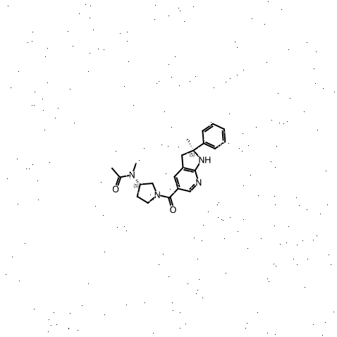 CC(=O)N(C)[C@H]1CCN(C(=O)c2cnc3c(c2)C[C@@](C)(c2ccccc2)N3)C1